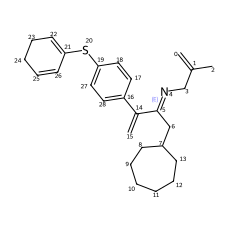 C=C(C)C/N=C(\CC1CCCCCC1)C(=C)c1ccc(SC2=CCCC=C2)cc1